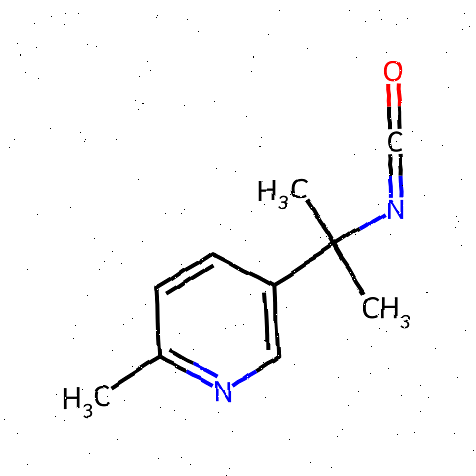 Cc1ccc(C(C)(C)N=C=O)cn1